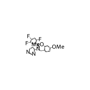 COc1ccc(CN(Sc2cc(F)c(F)cc2F)c2ccncn2)c(OC)c1